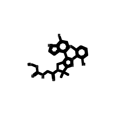 CCc1cccc(CC)c1-n1nc2c(c1-c1ccc(F)c3[nH]ccc13)CN(C(=O)CNC(=O)OC(C)(C)C)C2(C)C